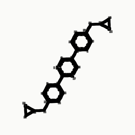 c1cc(-c2cnc(-c3ccc(CC4CO4)cc3)nc2)ccc1CC1CO1